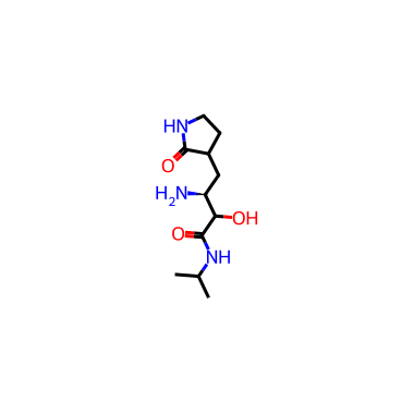 CC(C)NC(=O)C(O)[C@@H](N)CC1CCNC1=O